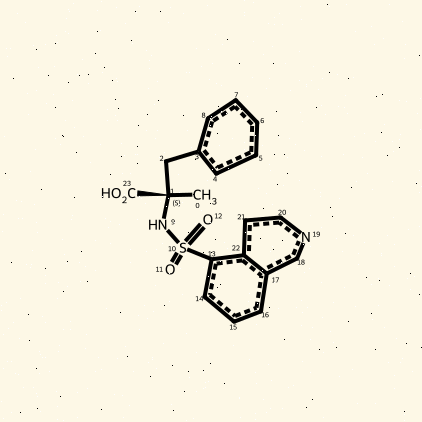 C[C@@](Cc1ccccc1)(NS(=O)(=O)c1cccc2cnccc12)C(=O)O